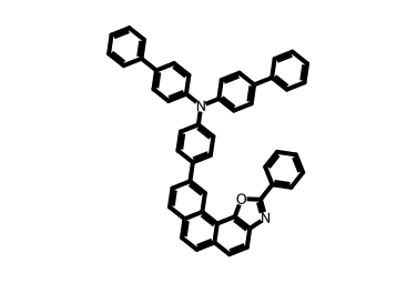 c1ccc(-c2ccc(N(c3ccc(-c4ccccc4)cc3)c3ccc(-c4ccc5ccc6ccc7nc(-c8ccccc8)oc7c6c5c4)cc3)cc2)cc1